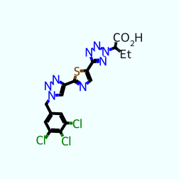 CCC(C(=O)O)n1nnc(-c2cnc(-c3cn(Cc4cc(Cl)c(Cl)c(Cl)c4)nn3)s2)n1